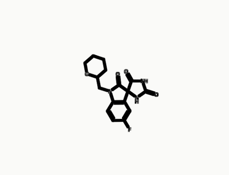 O=C1NC(=O)C2(N1)C(=O)N(CC1CCCCO1)c1ccc(F)cc12